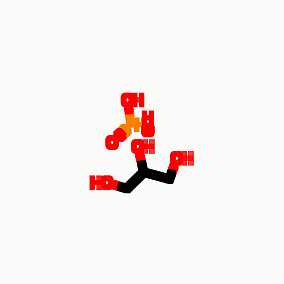 O=[PH](O)O.OCC(O)CO